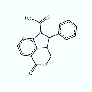 CC(=O)N1c2cccc3c2C(CCC3=O)C1c1ccccc1